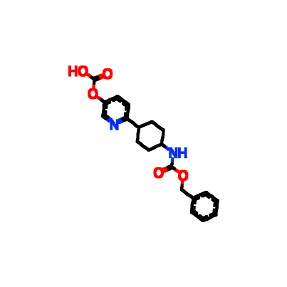 O=C(O)Oc1ccc(C2CCC(NC(=O)OCc3ccccc3)CC2)nc1